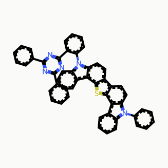 c1ccc(-c2nc(-c3ccccc3)nc(-c3ccccc3-n3c4ccccc4c4c5sc6c(ccc7c6c6ccccc6n7-c6ccccc6)c5ccc43)n2)cc1